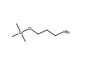 CCCCCCC[O][Sn]([CH3])([CH3])[CH3]